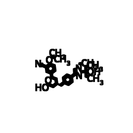 CCn1cc(-c2ccc(C[C@@H](CCO)CC(=O)c3ccc(OC(C)C)c(C#N)c3)cc2)nc1C(O)(CC)CC